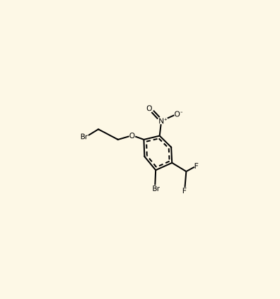 O=[N+]([O-])c1cc(C(F)F)c(Br)cc1OCCBr